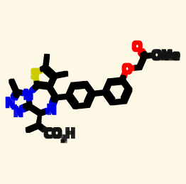 COC(=O)COc1cccc(-c2ccc(C3=N[C@@H](C(C)C(=O)O)c4nnc(C)n4-c4sc(C)c(C)c43)cc2)c1